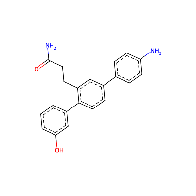 NC(=O)CCc1cc(-c2ccc(N)cc2)ccc1-c1cccc(O)c1